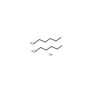 CCCCCN.CCCCCN.[Cu]